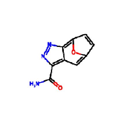 NC(=O)c1nnc2c3ccc(cc1-2)o3